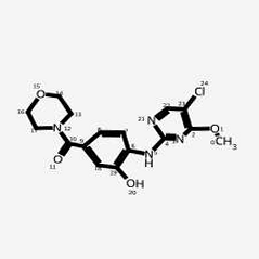 COc1nc(Nc2ccc(C(=O)N3CCOCC3)cc2O)ncc1Cl